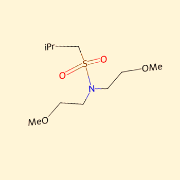 COCCN(CCOC)S(=O)(=O)CC(C)C